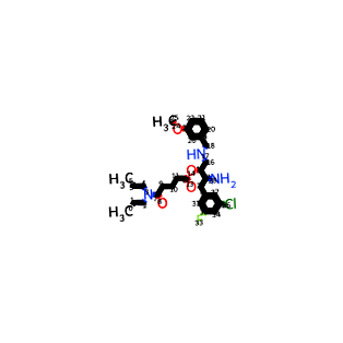 CCCN(CCC)C(=O)CCCC(=O)OC(CNCc1cccc(OC)c1)C(N)Cc1cc(F)cc(Cl)c1